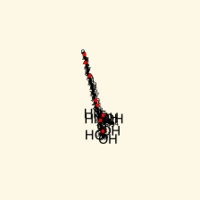 CCCCCCCCCCCCCCCCCCCCCCCCNC(=S)NC(COCC(O)C(O)CO)C(O)CC(O)CC